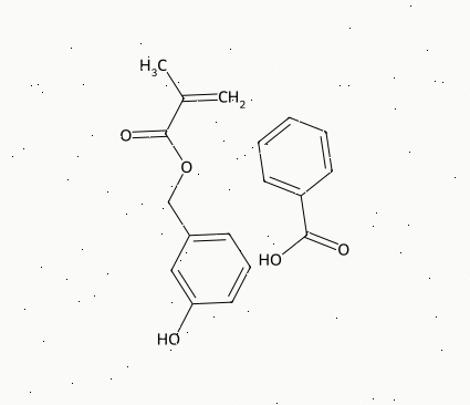 C=C(C)C(=O)OCc1cccc(O)c1.O=C(O)c1ccccc1